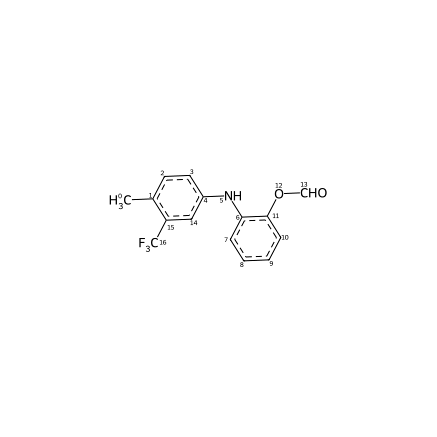 Cc1ccc(Nc2ccccc2OC=O)cc1C(F)(F)F